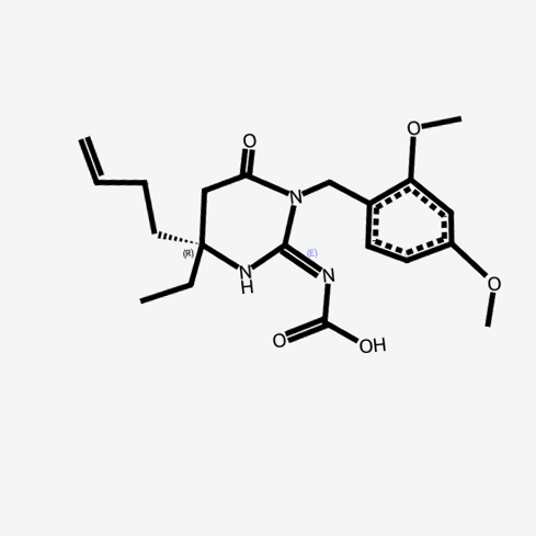 C=CCC[C@]1(CC)CC(=O)N(Cc2ccc(OC)cc2OC)/C(=N/C(=O)O)N1